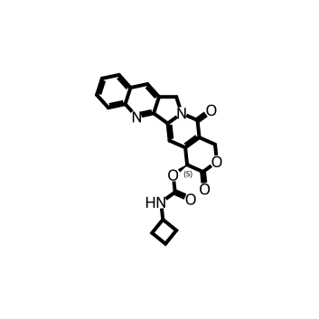 O=C(NC1CCC1)O[C@@H]1C(=O)OCc2c1cc1n(c2=O)Cc2cc3ccccc3nc2-1